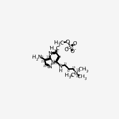 COS(=O)(=O)[O-].Cc1cc(NCCC[N+](C)(C)C)n2ncc(N)c2n1